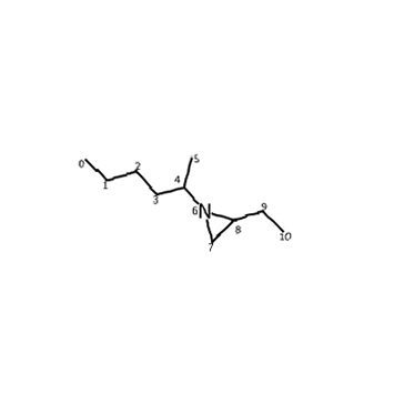 CCCCC(C)N1CC1CC